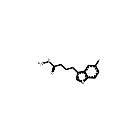 CNC(=O)CCCc1coc2ccc(I)cc12